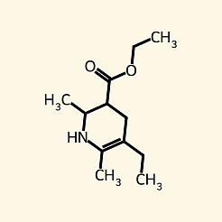 CCOC(=O)C1CC(CC)=C(C)NC1C